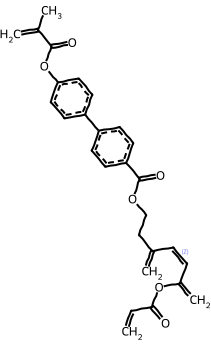 C=CC(=O)OC(=C)/C=C\C(=C)CCOC(=O)c1ccc(-c2ccc(OC(=O)C(=C)C)cc2)cc1